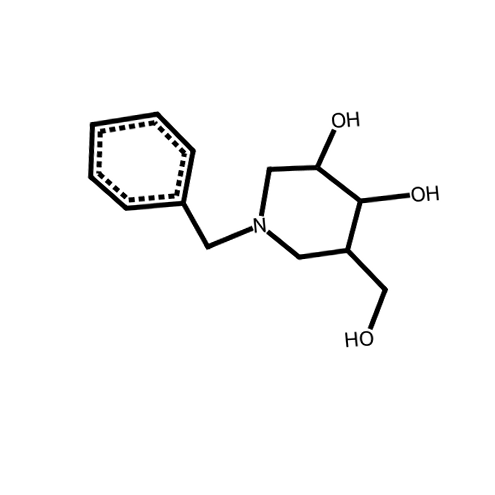 OCC1CN(Cc2ccccc2)CC(O)C1O